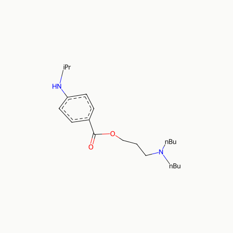 CCCCN(CCCC)CCCOC(=O)c1ccc(NC(C)C)cc1